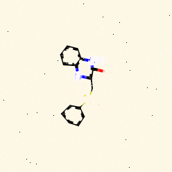 O=c1[nH]c2ccccc2nc1CS(=O)(=O)c1ccccc1